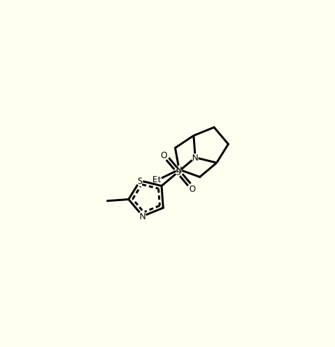 CCN1CC2CCC(C1)N2S(=O)(=O)c1cnc(C)s1